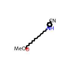 COC(=O)CCCCCCCCCCCCCCCNc1ccc(C#N)cc1